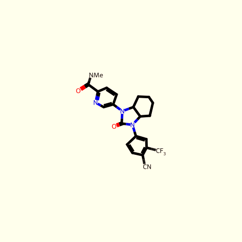 CNC(=O)c1ccc(N2C(=O)N(c3ccc(C#N)c(C(F)(F)F)c3)C3CCCCC32)cn1